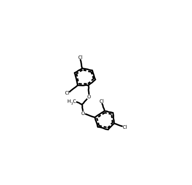 CC(Oc1ccc(Cl)cc1Cl)Oc1ccc(Cl)cc1Cl